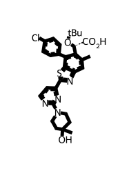 Cc1cc2nc(-c3ccnc(N4CCC(C)(O)CC4)n3)sc2c(-c2ccc(Cl)cc2)c1[C@H](OC(C)(C)C)C(=O)O